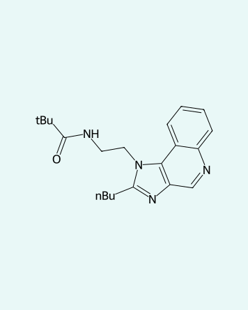 CCCCc1nc2cnc3ccccc3c2n1CCNC(=O)C(C)(C)C